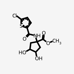 COC(=O)C1(NC(=O)c2ccc(Cl)s2)CC(O)C(O)C1